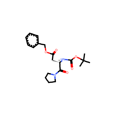 CC(C)(C)OC(=O)N[C@@H](CC(=O)OCc1ccccc1)C(=O)N1CCCC1